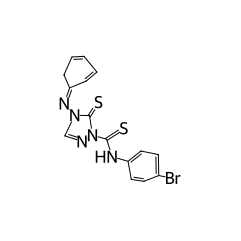 S=C(Nc1ccc(Br)cc1)n1ncn(N=C2C=CC=CC2)c1=S